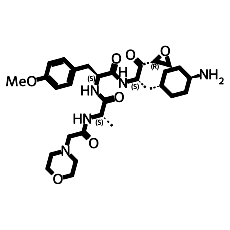 COc1ccc(C[C@H](NC(=O)[C@H](C)NC(=O)CN2CCOCC2)C(=O)N[C@@H](C[C@H]2CC[C@H](N)CC2)C(=O)[C@H]2CO2)cc1